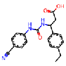 CCc1ccc(C(CC(=O)O)NC(=O)Nc2ccc(C#N)cc2)cc1